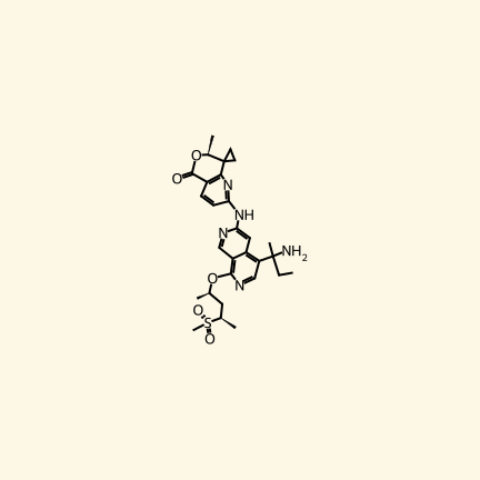 CCC(C)(N)c1cnc(O[C@H](C)C[C@@H](C)S(C)(=O)=O)c2cnc(Nc3ccc4c(n3)C3(CC3)[C@H](C)OC4=O)cc12